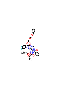 CNC(=O)OC(C)C(=O)NC(C(=O)N1CCN(C(=O)c2c(OCCOCCOCc3ccccc3)c3cc(F)c(F)cc3n2C)CC1)C1CCCCC1